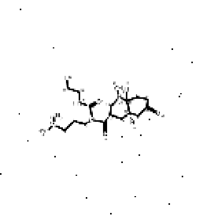 CN(C)CCCN(C(=O)NCCF)C(=O)[C@@H]1C[C@@H]2CC(=O)CC[C@H]2N(C)C1